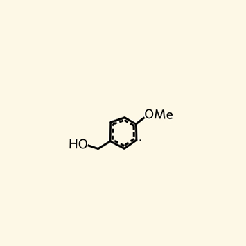 COc1[c]cc(CO)cc1